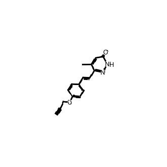 C#CCOc1ccc(C=Cc2n[nH]c(=O)cc2C)cc1